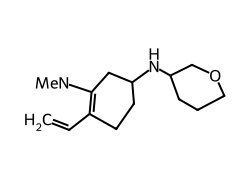 C=CC1=C(NC)CC(NC2CCCOC2)CC1